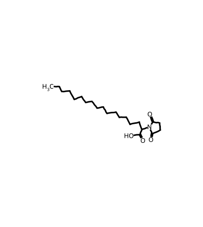 CCCCCCCCCCCCCCCCC(C(=O)O)N1C(=O)CCC1=O